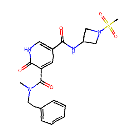 CN(Cc1ccccc1)C(=O)c1cc(C(=O)NC2CN(S(C)(=O)=O)C2)c[nH]c1=O